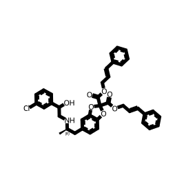 C[C@H](Cc1ccc2c(c1)OC(C(=O)OCC=Cc1ccccc1)(C(=O)OCC=Cc1ccccc1)O2)NCC(O)c1cccc(Cl)c1